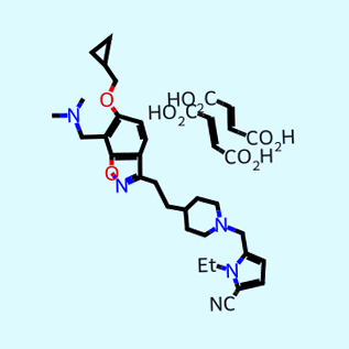 CCn1c(C#N)ccc1CN1CCC(CCc2noc3c(CN(C)C)c(OCC4CC4)ccc23)CC1.O=C(O)C=CC(=O)O.O=C(O)C=CC(=O)O